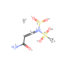 NC(=O)C=C=[N+]([S-](=O)=O)S(=O)(=O)C(F)(F)F.[Li+]